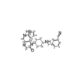 N#Cc1cccc(CN[C@H]2CC[C@H](n3c(=O)cnc4cnc5[nH]ccc5c43)CC2)c1